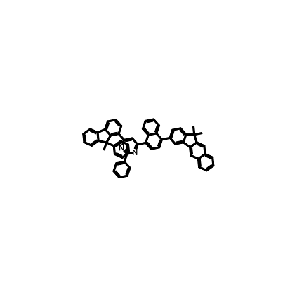 CC1(C)c2ccc(-c3ccc(-c4cc(-c5cccc6c5C(C)(c5ccccc5)c5ccccc5-6)nc(-c5ccccc5)n4)c4ccccc34)cc2-c2cc3ccccc3cc21